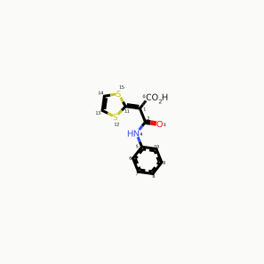 O=C(O)C(C(=O)Nc1ccccc1)=C1SC=CS1